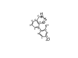 Fc1cc(Cl)ccc1-c1cccc2c1OSNC2